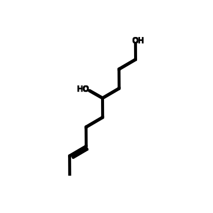 CC=CCCC(O)CCCO